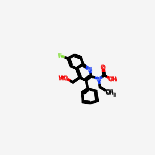 CCN(C(=O)O)c1nc2ccc(F)cc2c(CO)c1-c1ccccc1